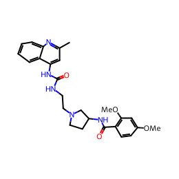 COc1ccc(C(=O)NC2CCN(CCNC(=O)Nc3cc(C)nc4ccccc34)C2)c(OC)c1